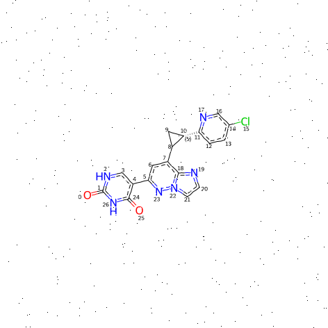 O=c1[nH]cc(-c2cc(C3C[C@@H]3c3ccc(Cl)cn3)c3nccn3n2)c(=O)[nH]1